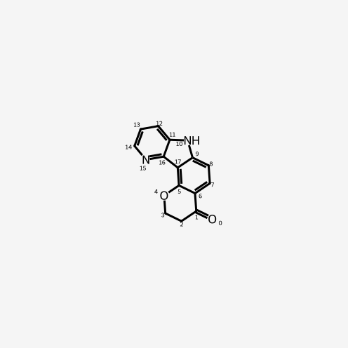 O=C1CCOc2c1ccc1[nH]c3cccnc3c21